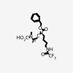 C[C@H](CCN(CCCCNC(=O)C(F)(F)F)C(=O)OCc1ccccc1)N(C)C(=O)O